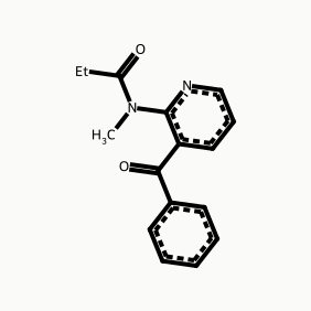 CCC(=O)N(C)c1ncccc1C(=O)c1ccccc1